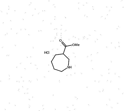 COC(=O)C1CCCCNC1.Cl